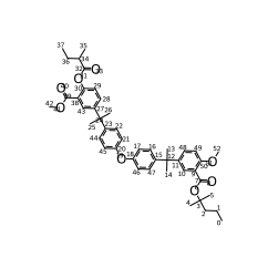 CCCC(C)(C)OC(=O)c1cc(C(C)(C)c2ccc(Oc3ccc(C(C)(C)c4ccc(OC(=O)C(C)CC)c(C(=O)OC)c4)cc3)cc2)ccc1OC